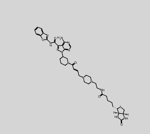 Nc1ncnc2c1c(C(=O)Nc1nc3ccccc3o1)nn2C1CCCN(C(=O)C=CCN2CCN(CCNC(=O)CCCC[C@@H]3SC[C@@H]4NC(=O)N[C@@H]43)CC2)C1